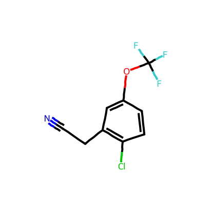 N#CCc1cc(OC(F)(F)F)ccc1Cl